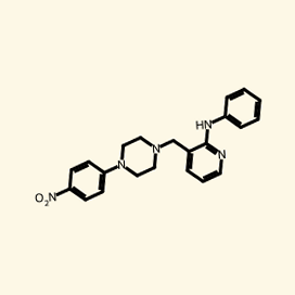 O=[N+]([O-])c1ccc(N2CCN(Cc3cccnc3Nc3ccccc3)CC2)cc1